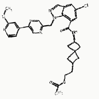 COc1cc(-c2cnc(Cn3ncc4cc(Cl)cc(C(=O)NC5CC6(CC(CCOC(C)=O)C6)C5)c43)cn2)ccn1